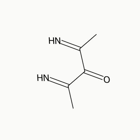 CC(=N)C(=O)C(C)=N